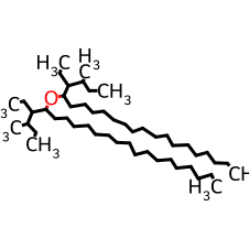 CCCCCCCCCCCCCCCCCC(OC(CCCCCCCCCCCCCCCCC)C(CC)C(C)CC)C(CC)C(C)CC